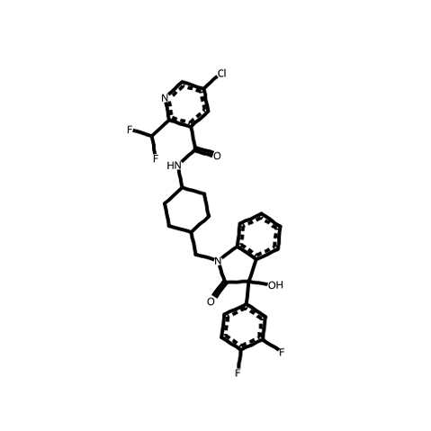 O=C(NC1CCC(CN2C(=O)C(O)(c3ccc(F)c(F)c3)c3ccccc32)CC1)c1cc(Cl)cnc1C(F)F